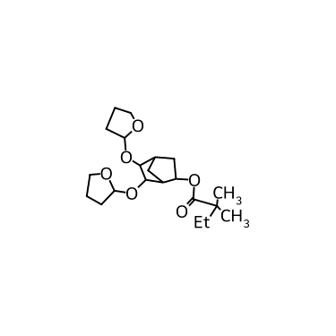 CCC(C)(C)C(=O)OC1CC2CC1C(OC1CCCO1)C2OC1CCCO1